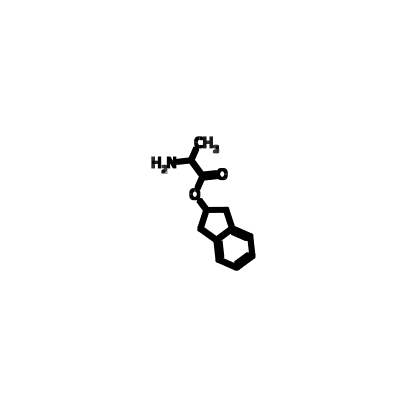 CC(N)C(=O)OC1Cc2ccccc2C1